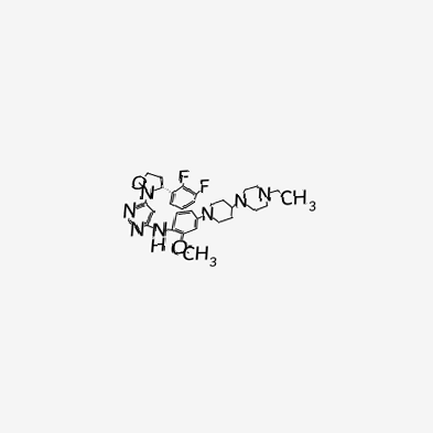 CCN1CCN(C2CCN(c3ccc(Nc4cc(N5OCC[C@@H]5c5cccc(F)c5F)ncn4)c(OC)c3)CC2)CC1